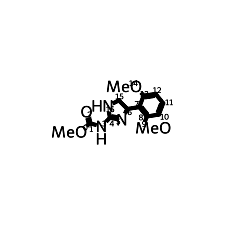 COC(=O)NC1=NC(c2c(OC)cccc2OC)CN1